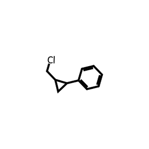 ClCC1CC1c1ccccc1